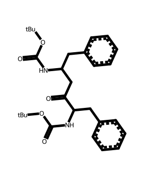 CC(C)(C)OC(=O)NC(CC(=O)C(Cc1ccccc1)NC(=O)OC(C)(C)C)Cc1ccccc1